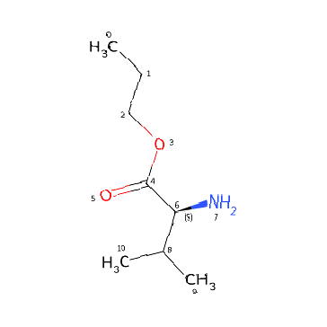 CCCOC(=O)[C@@H](N)C(C)C